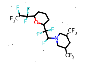 FC(N1CC(C(F)(F)F)CC(C(F)(F)F)C1)C(F)(F)C1CCCC(C(F)(F)C(F)C(F)(F)F)O1